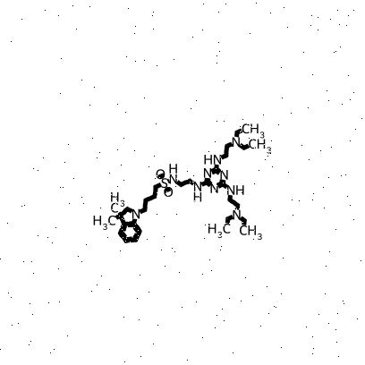 CCN(CC)CCNc1nc(NCCNS(=O)(=O)CCCCN2CC(C)(C)c3ccccc32)nc(NCCN(CC)CC)n1